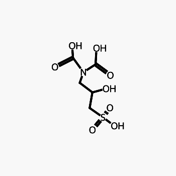 O=C(O)N(CC(O)CS(=O)(=O)O)C(=O)O